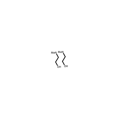 CNCCO.CNCCO